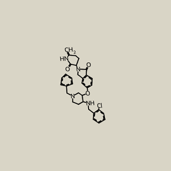 C=C1CCC(N2Cc3cc(OC4CN(Cc5ccccc5)CCC4NCc4ccccc4Cl)ccc3C2=O)C(=O)N1